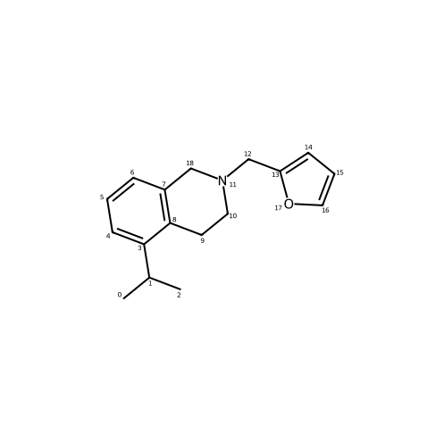 CC(C)c1cccc2c1CCN(Cc1ccco1)C2